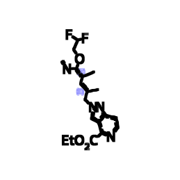 C=N/C(OCC(F)F)=C(C)\C=C(/C)Cn1cc2c(C(=O)OCC)nccc2n1